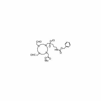 CCOP(=O)(CCCNC(=O)OCc1ccccc1)CN1CCN(CC=O)CCN(CC=O)CCN(CC(=O)OC(C)(C)C)CC1